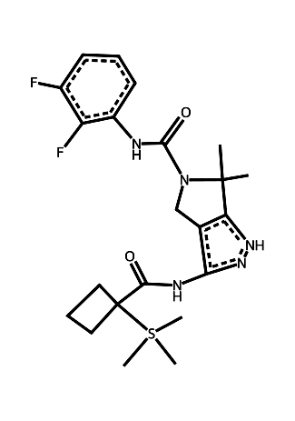 CC1(C)c2[nH]nc(NC(=O)C3(S(C)(C)C)CCC3)c2CN1C(=O)Nc1cccc(F)c1F